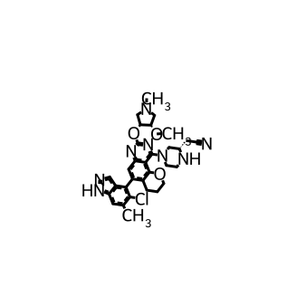 CO[C@H]1CN(C)C[C@@H]1Oc1nc(N2CCN[C@@H](CC#N)C2)c2c3c(c(-c4c(Cl)c(C)cc5[nH]ncc45)cc2n1)CCCO3